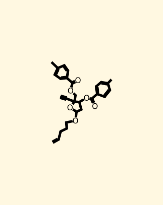 C#CC1(COC(=O)c2ccc(C)cc2)OC(OCCCC=C)CC1OC(=O)c1ccc(C)cc1